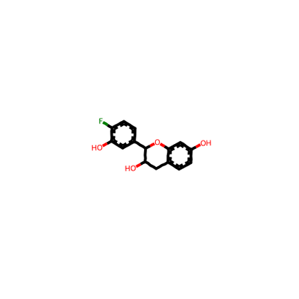 Oc1ccc2c(c1)OC(c1ccc(F)c(O)c1)C(O)C2